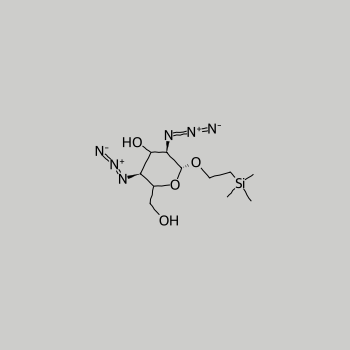 C[Si](C)(C)CCO[C@@H]1OC(CO)[C@@H](N=[N+]=[N-])C(O)[C@H]1N=[N+]=[N-]